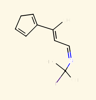 C/C(=C\C=N/C(C)(C)I)C1=CCC=C1